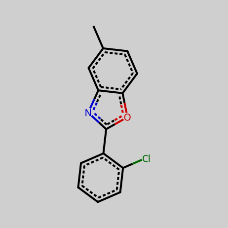 Cc1ccc2oc(-c3ccccc3Cl)nc2c1